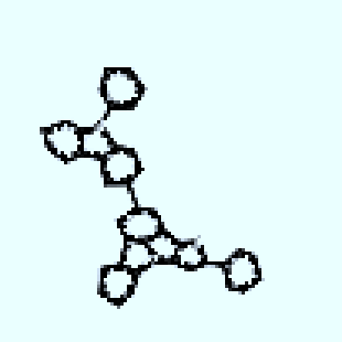 c1ccc(-c2cc3c(s2)c2cc(-c4ccc5c(c4)c4ccccc4n5-c4ccccc4)cc4c5ccccc5n3c42)cc1